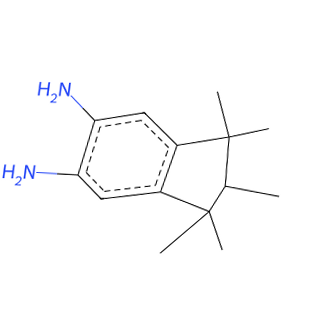 CC1C(C)(C)c2cc(N)c(N)cc2C1(C)C